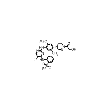 COc1cc(N2C=NN(C(=O)CO)CC2)c(C)cc1Nc1ncc(Cl)c(Nc2ccccc2S(=O)(=O)C(C)C)n1